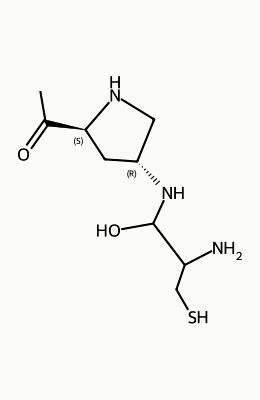 CC(=O)[C@@H]1C[C@@H](NC(O)C(N)CS)CN1